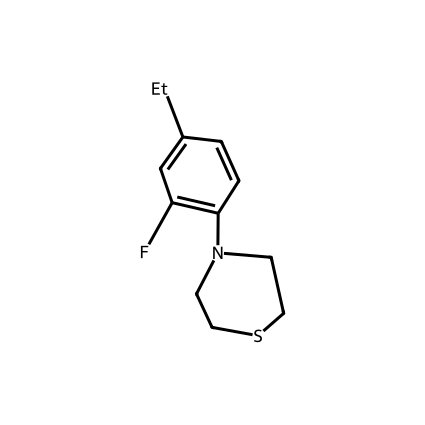 CCc1ccc(N2CCSCC2)c(F)c1